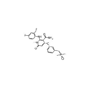 Cn1c(Nc2ccc(I)cc2F)c(C(N)=O)c(Oc2cccc(CP(C)(C)=O)c2)cc1=O